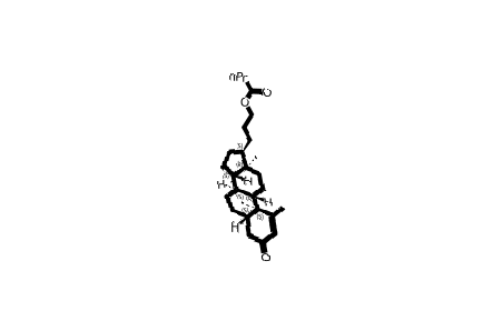 CCCC(=O)OCCC[C@@H]1CC[C@H]2[C@@H]3CC[C@H]4CC(=O)C=C(C)[C@]4(C)[C@H]3CC[C@]12C